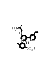 C=Cc1ccnc(-c2cc(OC[C@H](C)N)cnc2Cl)c1.Cc1ccc(S(=O)(=O)O)cc1